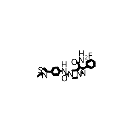 Cc1nc(-c2ccc(NC(=O)N3CCn4nc(-c5cccc(F)c5)c(C(N)=O)c4C3)cc2)cs1